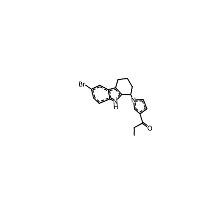 CCC(=O)c1ccn(C2CCCc3c2[nH]c2ccc(Br)cc32)c1